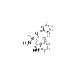 COCC(c1c[nH]c2cccc(OCc3ccccc3)c12)C(C)N